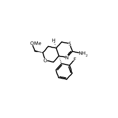 COC[C@H]1C[C@H]2CSC(N)=N[C@@]2(c2ccccc2F)CO1